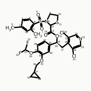 Cc1ccc(S(=O)(=O)N2CCSC2C(=O)O[C@@H](Cc2c(Cl)cncc2Cl)c2ccc(OC(F)F)c(OCC3CC3)c2)c(C)c1